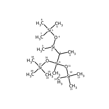 CC([Si](C)O[Si](C)(C)C)[Si](C)(O[Si](C)(C)C)O[Si](C)(C)C